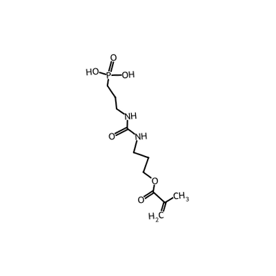 C=C(C)C(=O)OCCCNC(=O)NCCCP(=O)(O)O